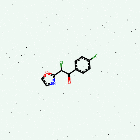 O=C(c1ccc(Cl)cc1)C(Cl)c1ncco1